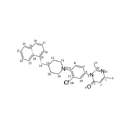 Cc1cc(=O)n(-c2ccc(N3CCC(Cc4cccc5ccccc45)CC3)c(Cl)c2)c(C)n1